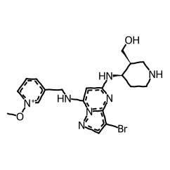 CO[n+]1cccc(CNc2cc(N[C@@H]3CCNC[C@@H]3CO)nc3c(Br)cnn23)c1